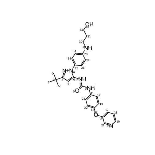 CC(C)(C)c1cc(NC(=O)Nc2ccc(Oc3cccnc3)cc2)n(-c2ccc(NCCCO)cc2)n1